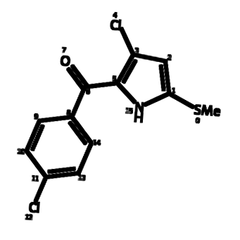 CSc1cc(Cl)c(C(=O)c2ccc(Cl)cc2)[nH]1